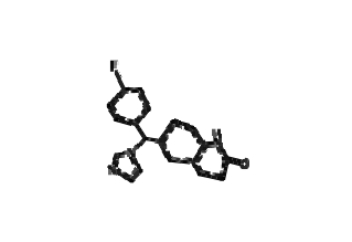 O=c1ccc2cc(C(c3ccc(F)cc3)n3ccnc3)ccc2[nH]1